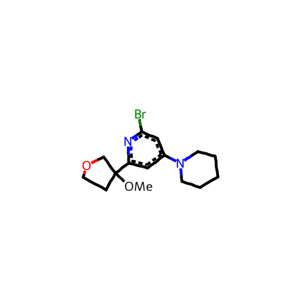 COC1(c2cc(N3CCCCC3)cc(Br)n2)CCOC1